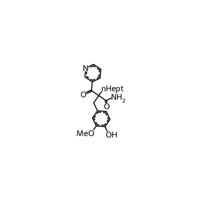 CCCCCCCC(Cc1ccc(O)c(OC)c1)(C(N)=O)C(=O)c1cccnc1